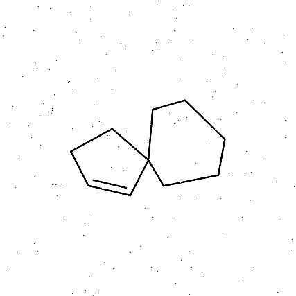 C1=CC2(CC1)CCCCC2